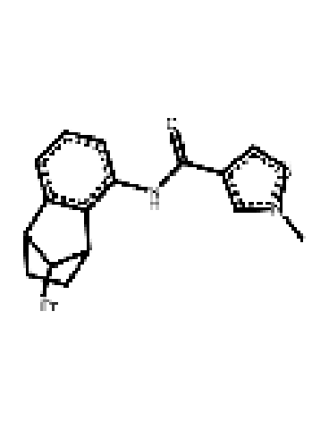 CC(C)C1C2CCC1c1c(NC(=O)c3cnn(C)c3)cccc12